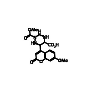 COC(=O)N1NNC(C(=O)O)C(c2cc(=O)oc3cc(OC)ccc23)N1